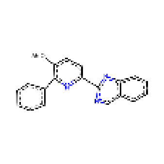 COc1ccc(-c2ncc3ccccc3n2)nc1-c1ccccc1